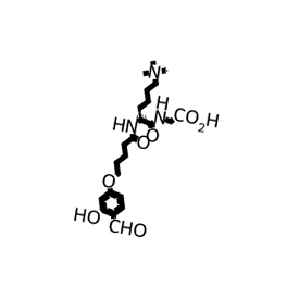 C[N+](C)(C)CCCC[C@H](NC(=O)CCCCOc1ccc(C=O)c(O)c1)C(=O)NCC(=O)O